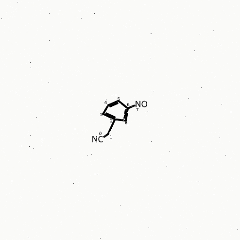 N#CCc1cccc(N=O)c1